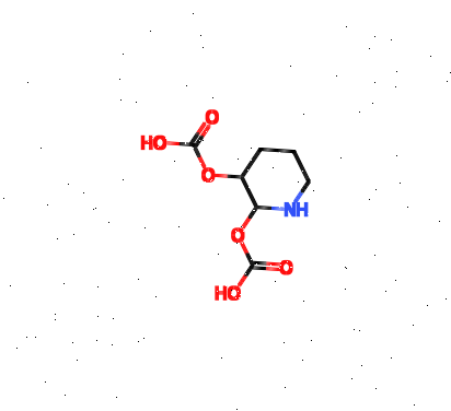 O=C(O)OC1CCCNC1OC(=O)O